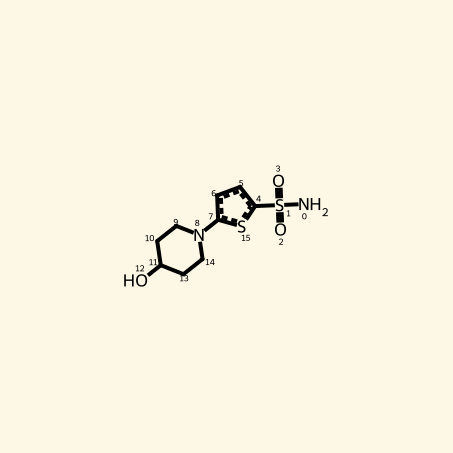 NS(=O)(=O)c1ccc(N2CCC(O)CC2)s1